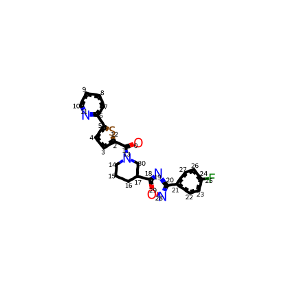 O=C(c1ccc(-c2ccccn2)s1)N1CCCC(c2nc(-c3ccc(F)cc3)no2)C1